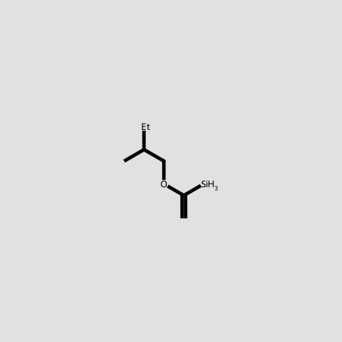 C=C([SiH3])OCC(C)CC